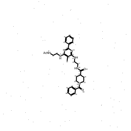 CC(=O)NCCNc1nc(-c2ccccc2)nc(NCCNC(=O)C2CCN(C(=O)c3ccccc3)CC2)c1C